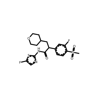 CS(=O)(=O)c1ccc(C(CC2CCOCC2)C(=O)Nc2ncc(F)s2)cc1F